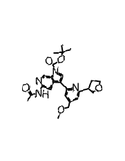 COCc1cc(-c2cn(C(=O)OC(C)(C)C)c3cnc(NC(C)=O)cc23)nc(C2CCOC2)c1